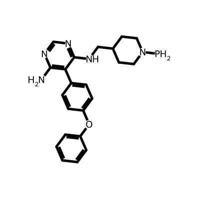 Nc1ncnc(NCC2CCN(P)CC2)c1-c1ccc(Oc2ccccc2)cc1